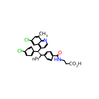 CCCC(c1ccc(C(=O)NCCC(=O)O)cc1)[C@@H](c1ccc(Cl)cc1)c1ccnc2c(C)cc(Cl)cc12